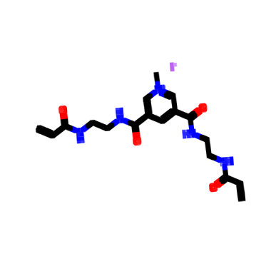 C=CC(=O)NCCNC(=O)c1cc(C(=O)NCCNC(=O)C=C)c[n+](C)c1.[I-]